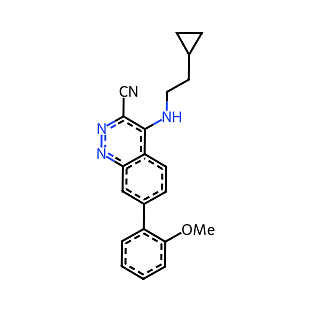 COc1ccccc1-c1ccc2c(NCCC3CC3)c(C#N)nnc2c1